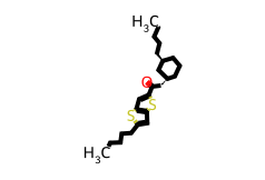 CCCCCc1cc2sc(C(=O)C[C@H]3CCC[C@H](CCCCC)C3)cc2s1